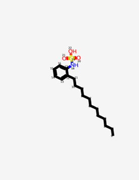 CCCCCCCCCCCCc1ccccc1NS(=O)(=O)O